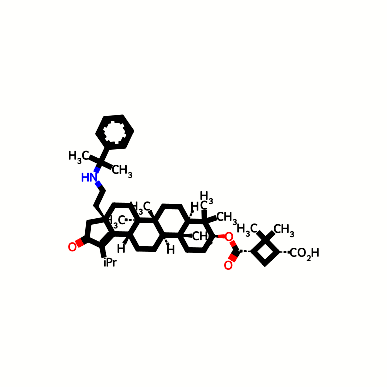 CC(C)C1=C2[C@H]3CC[C@@H]4[C@@]5(C)CC[C@H](OC(=O)[C@H]6C[C@@H](C(=O)O)C6(C)C)C(C)(C)[C@@H]5CC[C@@]4(C)[C@]3(C)CC[C@@]2(CCNC(C)(C)c2ccccc2)CC1=O